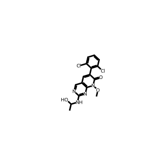 COn1c(=O)c(-c2c(Cl)cccc2Cl)cc2cnc(NC(C)O)nc21